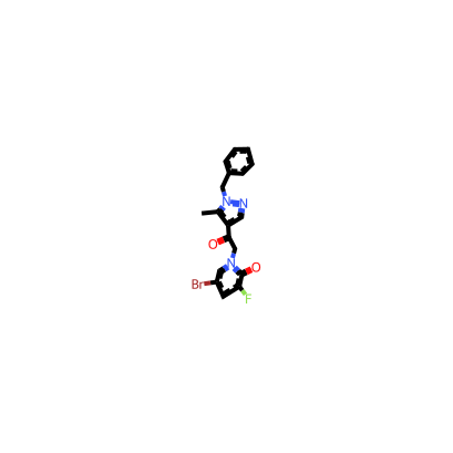 Cc1c(C(=O)Cn2cc(Br)cc(F)c2=O)cnn1Cc1ccccc1